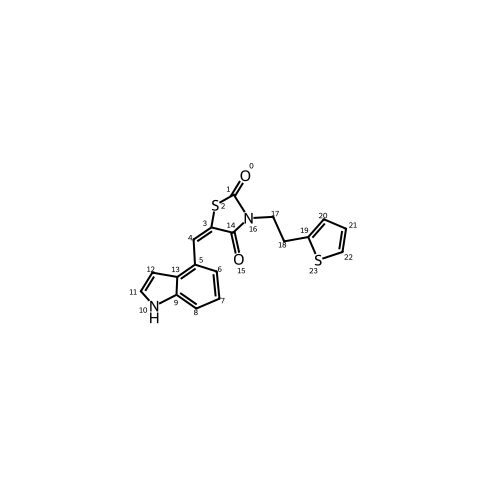 O=C1SC(=Cc2cccc3[nH]ccc23)C(=O)N1CCc1cccs1